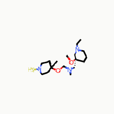 CCN1CCC[C@@](CN(C)COC2(C)CCN(S)CC2)(OC)C1